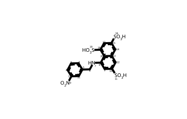 O=[N+]([O-])c1cccc(CNc2cc(S(=O)(=O)O)cc3cc(S(=O)(=O)O)cc(S(=O)(=O)O)c23)c1